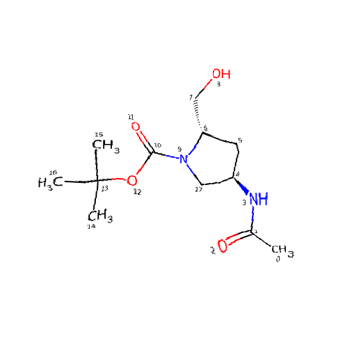 CC(=O)N[C@@H]1C[C@@H](CO)N(C(=O)OC(C)(C)C)C1